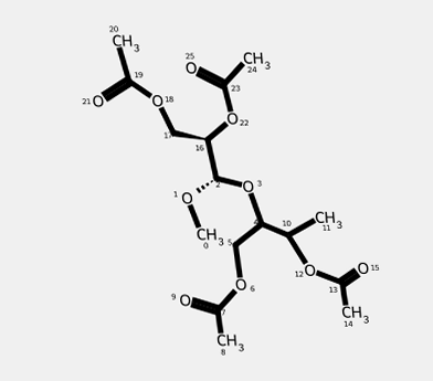 CO[C@@H](OC(COC(C)=O)C(C)OC(C)=O)[C@@H](COC(C)=O)OC(C)=O